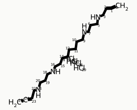 C=C=CCNCCCNCCCCCCCCNCCCNCC=C=C.Cl.Cl.Cl.Cl